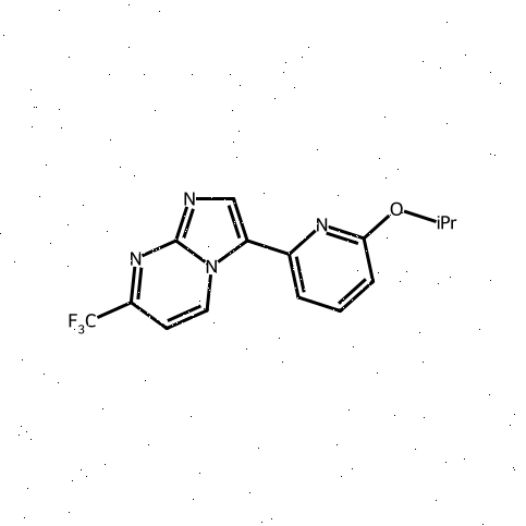 CC(C)Oc1cccc(-c2cnc3nc(C(F)(F)F)ccn23)n1